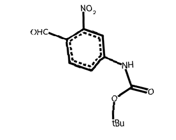 CC(C)(C)OC(=O)Nc1ccc(C=O)c([N+](=O)[O-])c1